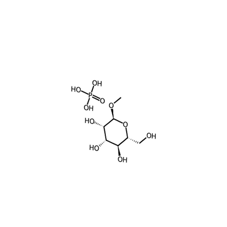 CO[C@H]1O[C@H](CO)[C@@H](O)[C@H](O)[C@@H]1O.O=P(O)(O)O